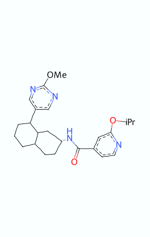 COc1ncc(C2CCCC3CC[C@@H](NC(=O)c4ccnc(OC(C)C)c4)CC32)cn1